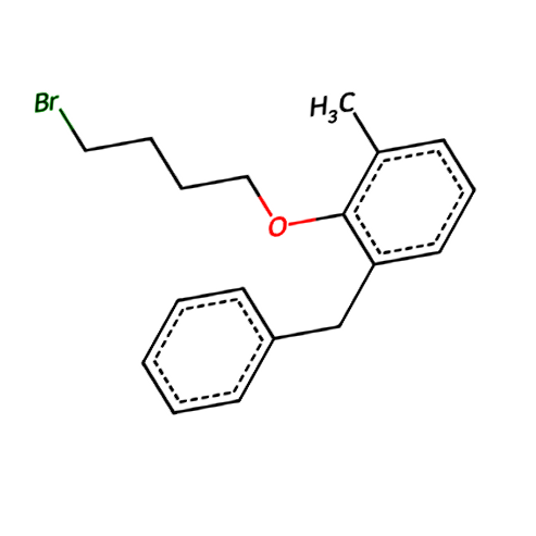 Cc1cccc(Cc2ccccc2)c1OCCCCBr